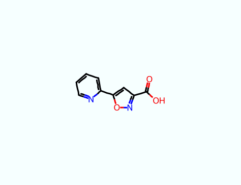 O=C(O)c1cc(-c2ccccn2)on1